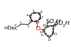 CCCCCCCCCCCCc1ccccc1Oc1cccc(S(=O)(=O)O)c1S(=O)(=O)O